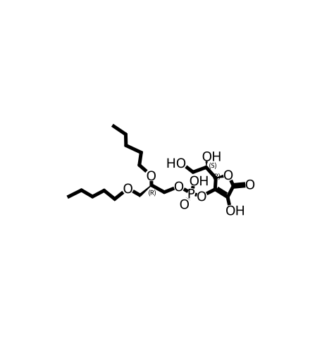 CCCCCOC[C@H](COP(=O)(O)OC1=C(O)C(=O)O[C@@H]1[C@@H](O)CO)OCCCCC